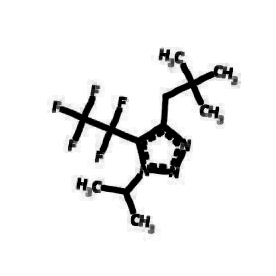 CC(C)n1nnc(CC(C)(C)C)c1C(F)(F)C(F)(F)F